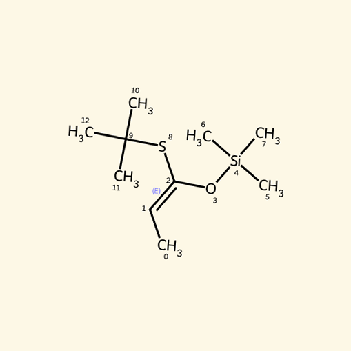 C/C=C(\O[Si](C)(C)C)SC(C)(C)C